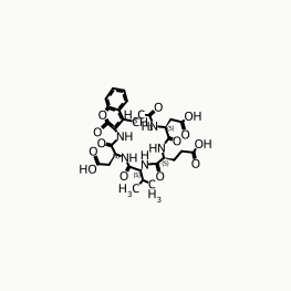 CC(=O)N[C@@H](CC(=O)O)C(=O)N[C@@H](CCC(=O)O)C(=O)N[C@H](C(=O)N[C@@H](CC(=O)O)C(=O)Nc1c(C)c2ccccc2oc1=O)C(C)C